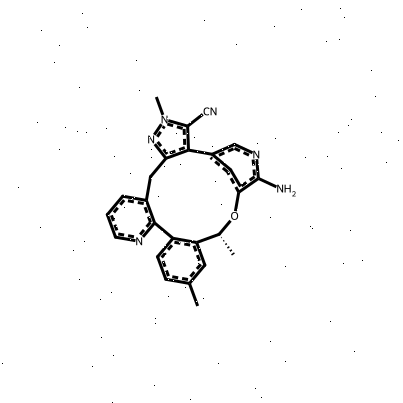 Cc1ccc2c(c1)[C@@H](C)Oc1cc(cnc1N)-c1c(nn(C)c1C#N)Cc1cccnc1-2